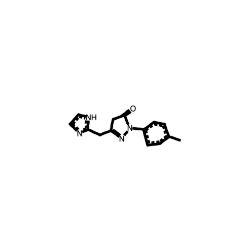 Cc1ccc(N2N=C(Cc3ncc[nH]3)CC2=O)cc1